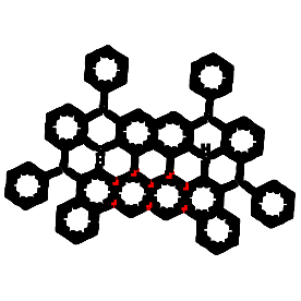 c1ccc(N2c3cccc4c3[SiH]3c5c(cc6ccccc6c5N4c4ccccc4)N(c4ccccc4)c4c3c2cc2cc3c5c(c42)N(c2ccccc2)c2cc4ccccc4c4c2[SiH]5c2c(cccc2N4c2ccccc2)N3c2ccccc2)cc1